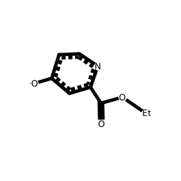 CCOC(=O)c1cc([O])ccn1